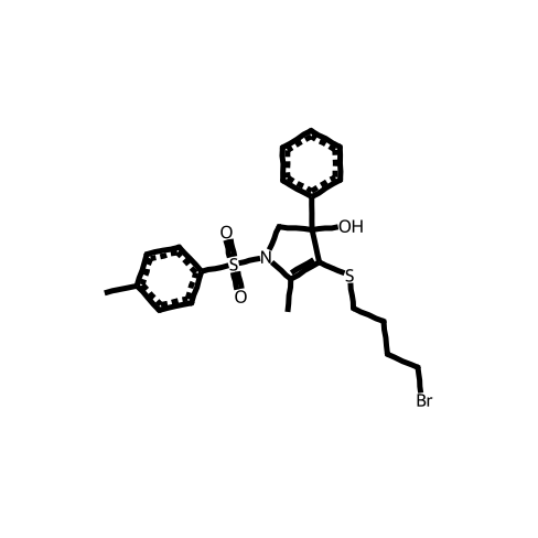 CC1=C(SCCCCBr)C(O)(c2ccccc2)CN1S(=O)(=O)c1ccc(C)cc1